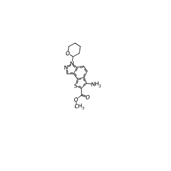 COC(=O)c1sc2c(ccc3c2cnn3C2CCCCO2)c1N